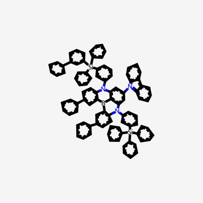 c1ccc(-c2cccc([Si](c3ccccc3)(c3ccccc3)c3cccc(N4c5ccc(-c6ccccc6)cc5B5c6cc(-c7ccccc7)ccc6N(c6cccc([Si](c7ccccc7)(c7ccccc7)c7ccccc7)c6)c6cc(-n7c8ccccc8c8ccccc87)cc4c65)c3)c2)cc1